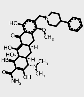 B=C1C(C(N)=O)=C(O)[C@@H](N(C)C)[C@@H]2C[C@@H]3Cc4c(OC)c(CN5CCC(c6ccccc6)CC5)cc(O)c4C(=O)C3=C(O)[C@]12O